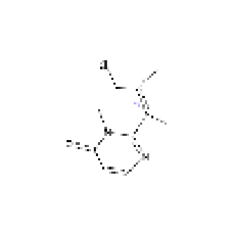 C/C(CCl)=C(\C)c1nccc(=O)n1C